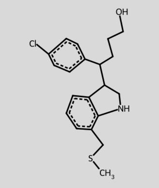 CSCc1cccc2c1NCC2C(CCCO)c1ccc(Cl)cc1